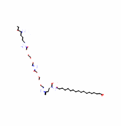 C=C(CC[C@H](NC(=O)CCCCCCCCCCCCCCCCC(=O)O)C(=O)O)NCCOCCOCC(=O)NCCOCCOCC(=O)N(N)CCCC[C@H](N)C(=O)CC